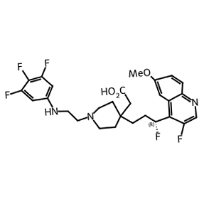 COc1ccc2ncc(F)c([C@H](F)CCC3(CC(=O)O)CCN(CCNc4cc(F)c(F)c(F)c4)CC3)c2c1